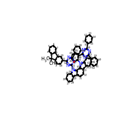 CC1(C)c2ccccc2-c2cc(-c3nc(-c4ccccc4)nc(-n4c5ccccc5c5ccc6c7ccccc7n(-c7ccccc7-c7nc(-c8ccccc8)nc(-c8ccccc8)n7)c6c54)n3)ccc21